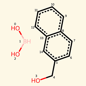 OBO.OCc1ccc2ccccc2c1